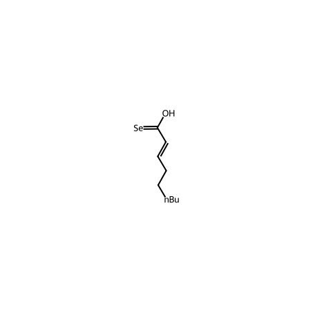 CCCCCCC=CC(O)=[Se]